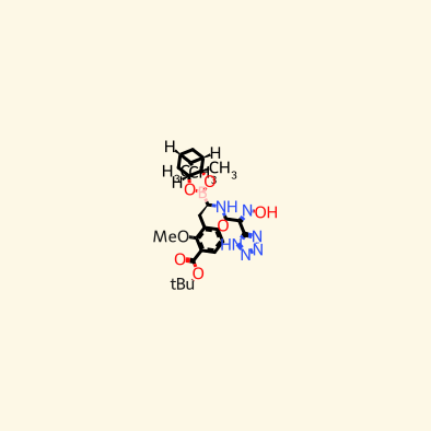 COc1c(C[C@H](NC(=O)/C(=N/O)c2nnn[nH]2)B2O[C@@H]3C[C@@H]4C[C@@H](C4(C)C)[C@]3(C)O2)cccc1C(=O)OC(C)(C)C